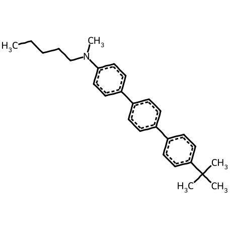 CCCCCN(C)c1ccc(-c2ccc(-c3ccc(C(C)(C)C)cc3)cc2)cc1